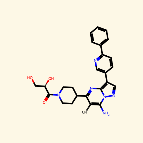 [C-]#[N+]c1c(C2CCN(C(=O)[C@H](O)CO)CC2)nc2c(-c3ccc(-c4ccccc4)nc3)cnn2c1N